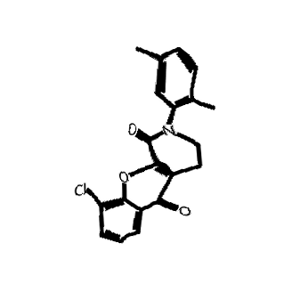 Cc1ccc(C)c(N2CCc3c(oc4c(Cl)cccc4c3=O)C2=O)c1